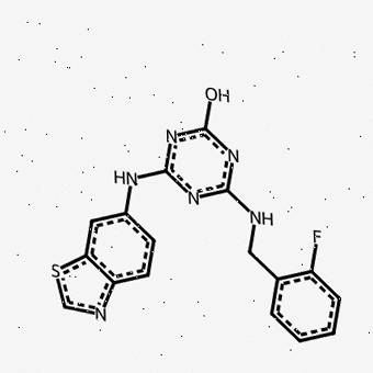 Oc1nc(NCc2ccccc2F)nc(Nc2ccc3ncsc3c2)n1